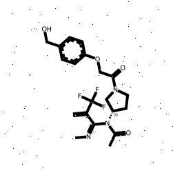 C=C(/C(=N\C)N(C(C)=O)[C@H]1CCN(C(=O)COc2ccc(CO)cc2)C1)C(F)(F)F